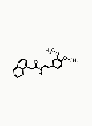 COc1ccc(C=CNC(=O)Cc2cccc3ccccc23)cc1OC